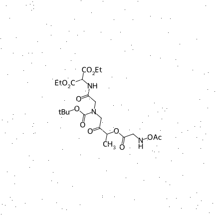 CCOC(=O)C(NC(=O)CN(CC(=O)C(C)OC(=O)CNOC(C)=O)C(=O)OC(C)(C)C)C(=O)OCC